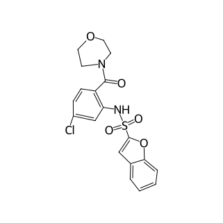 O=C(c1ccc(Cl)cc1NS(=O)(=O)c1cc2ccccc2o1)N1CCOCC1